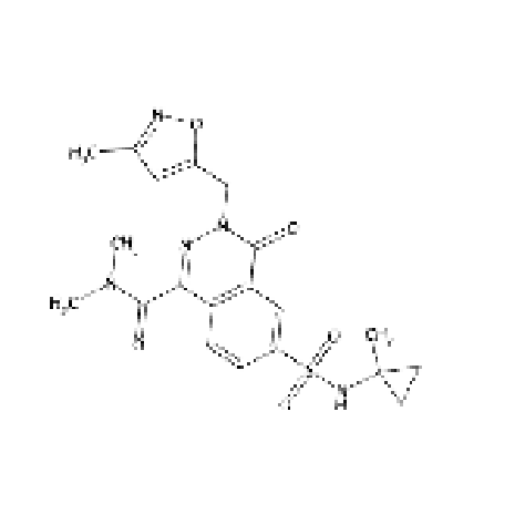 Cc1cc(Cn2nc(C(=O)N(C)C)c3ccc(S(=O)(=O)NC4(C)CC4)cc3c2=O)on1